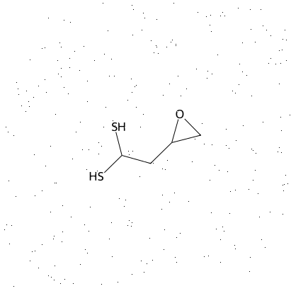 SC(S)CC1CO1